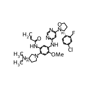 C=CC(=O)Nc1cc(Nc2cc(N3OCC[C@@H]3c3ccc(Cl)cc3F)ncn2)c(OC)cc1N1CC[C@@H](N(C)C)C1